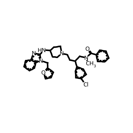 CN(CC(CCN1CCC(Nc2nc3ccccc3n2Cc2ccco2)CC1)c1ccc(Cl)cc1)C(=O)c1ccccc1